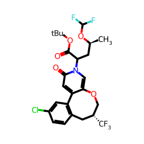 C[C@@H](CC(C(=O)OC(C)(C)C)n1cc2c(cc1=O)-c1cc(Cl)ccc1C[C@@H](C(F)(F)F)CO2)OC(F)F